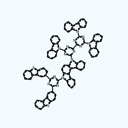 c1ccc2c(c1)sc1ccc(-c3nc(-c4ccc5sc6ccccc6c5c4)nc(-n4c5ccccc5c5c6c7ccccc7n(-c7nc(-c8nc(-n9c%10ccccc%10c%10ccccc%109)nc(-n9c%10ccccc%10c%10ccccc%109)n8)nc(-n8c9ccccc9c9ccccc98)n7)c6ccc54)n3)cc12